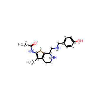 O=C(O)C(=O)Nc1sc2c(c1C(=O)O)CCNC2CNCc1ccc(O)cc1